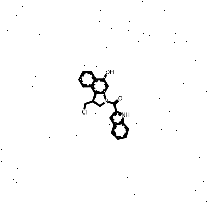 O=C(c1cc2ccccc2[nH]1)N1CC(CCl)c2c1cc(O)c1ccccc21